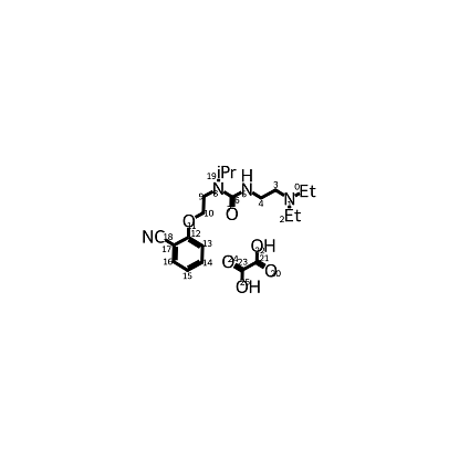 CCN(CC)CCNC(=O)N(CCOc1ccccc1C#N)C(C)C.O=C(O)C(=O)O